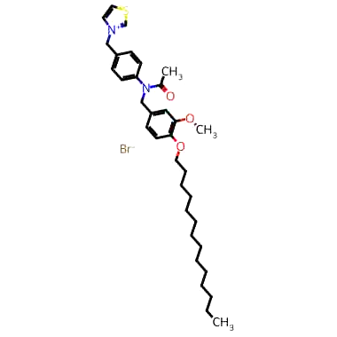 CCCCCCCCCCCCCCOc1ccc(CN(C(C)=O)c2ccc(C[n+]3ccsc3)cc2)cc1OC.[Br-]